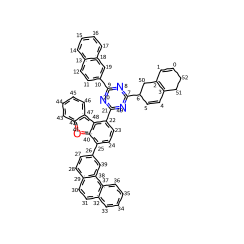 C1=CC2=C(C=CC(c3nc(-c4ccc5ccccc5c4)nc(-c4ccc(-c5ccc6ccc7ccccc7c6c5)c5oc6ccccc6c45)n3)C2)CC1